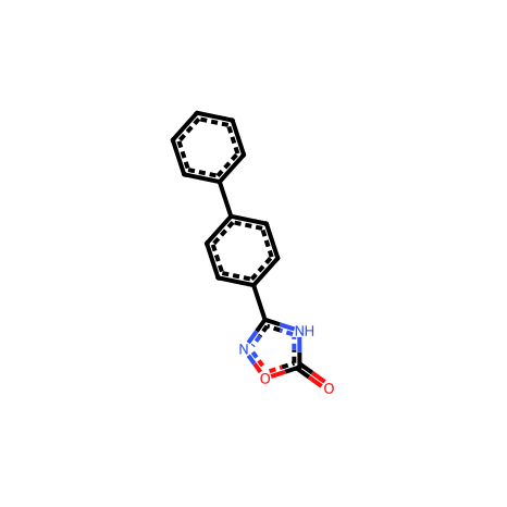 O=c1[nH]c(-c2ccc(-c3ccccc3)cc2)no1